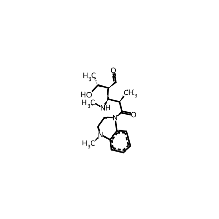 CN[C@@H]([C@H](C=O)[C@@H](C)O)[C@@H](C)C(=O)N1CCN(C)c2ccccc21